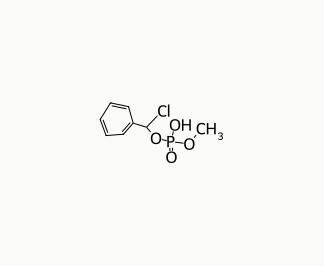 COP(=O)(O)OC(Cl)c1ccccc1